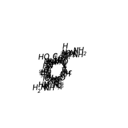 CC(=O)[C@@H]1CSSC[C@H](NC(=O)[C@H](CCCNC(=N)N)N2C(=O)CNC2=O)C(=O)N[C@@H](CCC(=O)O)C(=O)N[C@@H](Cc2cnc[nH]2)C(=O)N[C@H](Cc2ccccc2)C(=O)N[C@@H](CCCNC(=N)N)C(=O)N[C@@H](Cc2c[nH]c3ccccc23)C(=O)N1